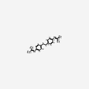 CCC(CC)=Nc1ccc(CCc2ccc(N=C(CC)CC)cc2)cc1